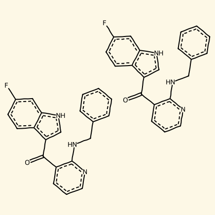 O=C(c1cccnc1NCc1ccccc1)c1c[nH]c2cc(F)ccc12.O=C(c1cccnc1NCc1ccccc1)c1c[nH]c2cc(F)ccc12